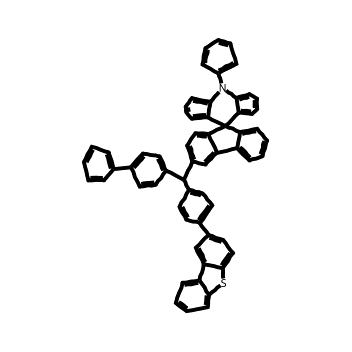 c1ccc(-c2ccc(C(c3ccc(-c4ccc5sc6ccccc6c5c4)cc3)c3ccc4c(c3)-c3ccccc3C43c4ccccc4N(c4ccccc4)c4ccccc43)cc2)cc1